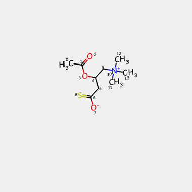 CC(=O)OC(CC([O-])=S)C[N+](C)(C)C